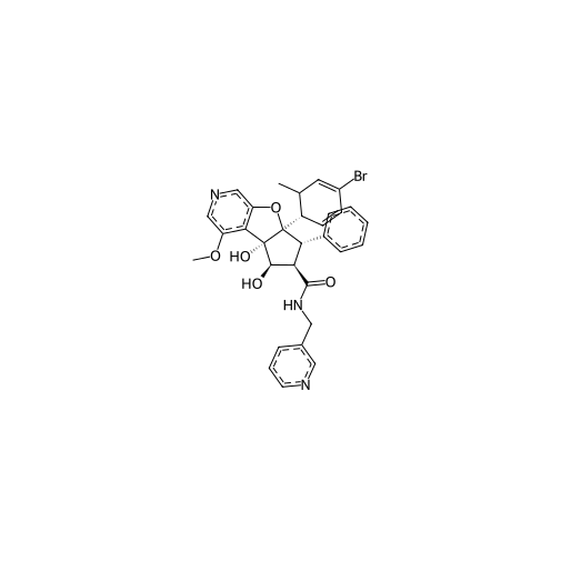 COc1cncc2c1[C@]1(O)[C@H](O)[C@H](C(=O)NCc3cccnc3)[C@@H](c3ccccc3)C1([C@H]1C=CC(Br)=CC1C)O2